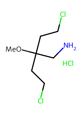 COC(CN)(CCCl)CCCl.Cl